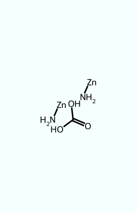 O=C(O)O.[NH2][Zn].[NH2][Zn]